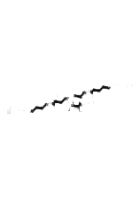 CCCCCCCCCCCCCCOC(=O)CCN(CCC(=O)OCCCCCCCCCCCCCC)[C@@H](CO)[C@H](C)O